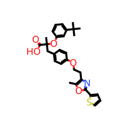 Cc1oc(-c2cccs2)nc1CCOc1ccc(CC(C)(Oc2cccc(C(C)(C)C)c2)C(=O)O)cc1